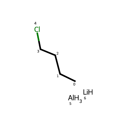 CCCCCl.[AlH3].[LiH]